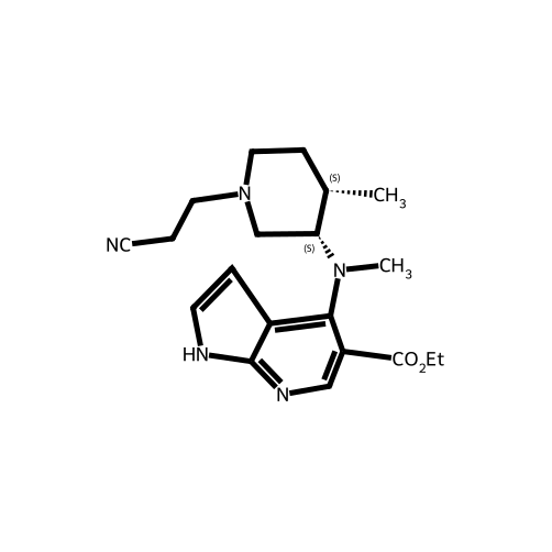 CCOC(=O)c1cnc2[nH]ccc2c1N(C)[C@@H]1CN(CCC#N)CC[C@@H]1C